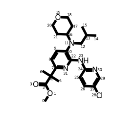 COC(=O)C(C)(C)c1ccc(N(CC(C)C)C2CCOCC2)c(Nc2ccc(Cl)cn2)n1